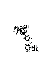 CC1(C)COCCN1Cc1ccc(B2OC(C)(C)C(C)(C)O2)cc1